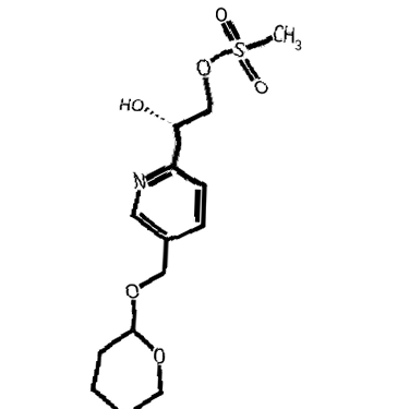 CS(=O)(=O)OC[C@@H](O)c1ccc(COC2CCCCO2)cn1